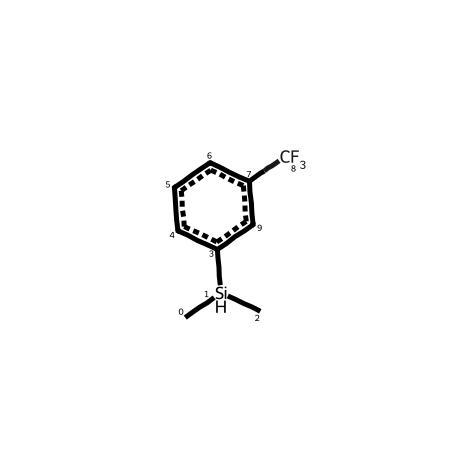 C[SiH](C)c1cccc(C(F)(F)F)c1